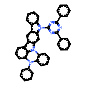 c1ccc(-c2nc(-c3ccccc3)nc(-n3c4ccccc4c4cc5c6cccc7c6n(c5cc43)-c3ccccc3N7c3ccccc3)n2)cc1